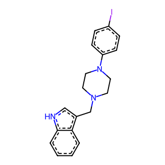 Ic1ccc(N2CCN(Cc3c[nH]c4ccccc34)CC2)cc1